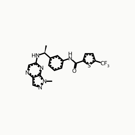 C[C@H](Nc1cnc2cnn(C)c2n1)c1cccc(NC(=O)c2ccc(C(F)(F)F)s2)c1